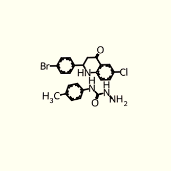 Cc1ccc(NC(=O)NN)cc1.O=C1CC(c2ccc(Br)cc2)Nc2ccc(Cl)cc21